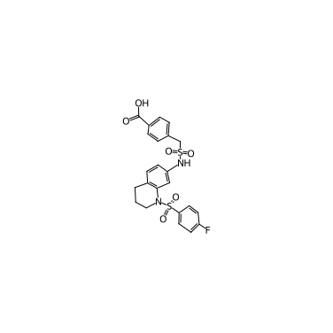 O=C(O)c1ccc(CS(=O)(=O)Nc2ccc3c(c2)N(S(=O)(=O)c2ccc(F)cc2)CCC3)cc1